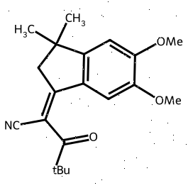 COc1cc2c(cc1OC)C(C)(C)CC2=C(C#N)C(=O)C(C)(C)C